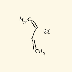 C=CC=C.[Gd]